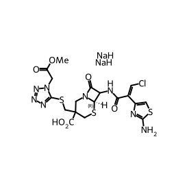 COC(=O)Cn1nnnc1SCC1(C(=O)O)CS[C@@H]2C(NC(=O)C(=CCl)c3csc(N)n3)C(=O)N2C1.[NaH].[NaH]